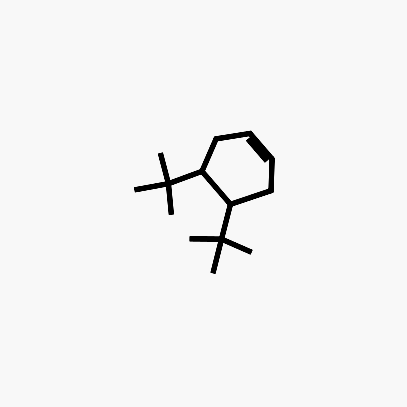 CC(C)(C)C1CC=CCC1C(C)(C)C